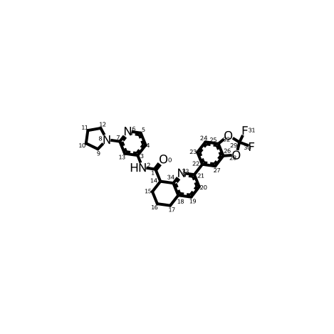 O=C(Nc1ccnc(N2CCCC2)c1)C1CCCc2ccc(-c3ccc4c(c3)OC(F)(F)O4)nc21